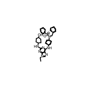 CCn1cnc2c(Nc3ccc(N(Cc4ccccc4)S(=O)(=O)c4ccccc4)cc3)nc(NC3CCC(O)CC3)nc21